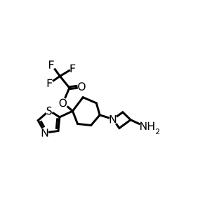 NC1CN(C2CCC(OC(=O)C(F)(F)F)(c3cncs3)CC2)C1